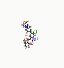 O=C1Nc2cc(Cl)c(-c3ccc(N4CCOCC4)cc3)cc2C1=C(O)c1ccccc1F